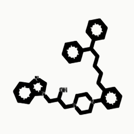 OC(CN1CCN(c2ccccc2CCCCC(c2ccccc2)c2ccccc2)CC1)Cn1cnc2ccccc21